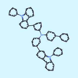 c1ccc(-c2ccc(N(c3cccc(-c4ccc5c6ccccc6n(-c6ccccc6)c5c4)c3)c3cccc(-c4cccc5c4c4ccccc4n5-c4ccccc4)c3)cc2)cc1